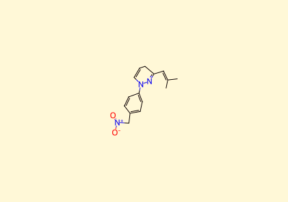 CC(C)=CC1=NN(c2ccc(C[N+](=O)[O-])cc2)C=CC1